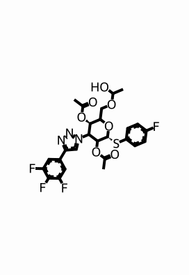 CC(=O)OC1C(n2cc(-c3cc(F)c(F)c(F)c3)nn2)[C@@H](OC(C)=O)C(COC(C)O)O[C@@H]1Sc1ccc(F)cc1